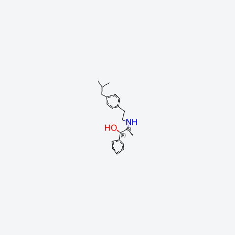 CC(C)Cc1ccc(CCN[C@@H](C)[C@H](O)c2ccccc2)cc1